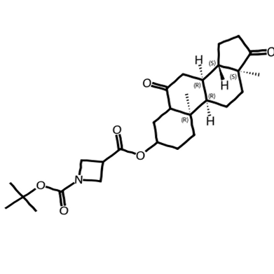 CC(C)(C)OC(=O)N1CC(C(=O)OC2CC[C@@]3(C)C(C2)C(=O)C[C@@H]2[C@H]3CC[C@]3(C)C(=O)CC[C@@H]23)C1